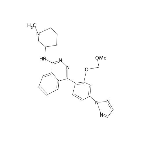 COCOc1cc(-n2nccn2)ccc1-c1nnc(NC2CCCN(C)C2)c2ccccc12